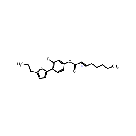 CCCCC/C=C/C(=O)Oc1ccc(-c2ccc(CCC)s2)c(F)c1